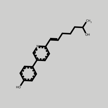 CC(O)CCCC=Cc1ccc(-c2ccc(O)cc2)cn1